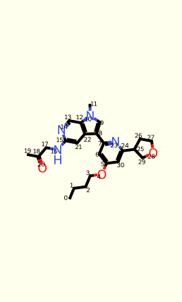 CCCCOc1cc(-c2cn(C)c3cnc(NCC(C)=O)cc23)nc(C2CCOC2)c1